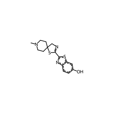 CN1CCC2(CC1)CN=C(c1nc3ccc(O)cc3s1)S2